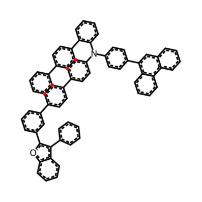 c1ccc(-c2ccc(-c3ccccc3N(c3ccc(-c4ccc(-c5cccc(-c6oc7ccccc7c6-c6ccccc6)c5)cc4)cc3)c3ccc(-c4cc5ccccc5c5ccccc45)cc3)cc2)cc1